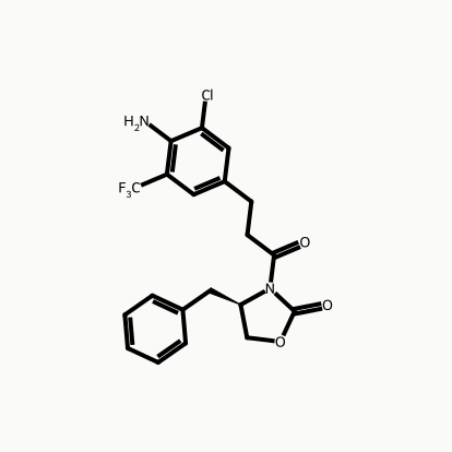 Nc1c(Cl)cc(CCC(=O)N2C(=O)OC[C@H]2Cc2ccccc2)cc1C(F)(F)F